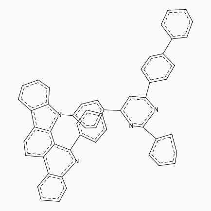 c1ccc(-c2ccc(-c3cc(-c4ccc(-n5c6ccccc6c6ccc7c8ccccc8nc(-c8ccccc8)c7c65)cc4)nc(-c4ccccc4)n3)cc2)cc1